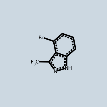 FC(F)(F)c1n[nH]c2cccc(Br)c12